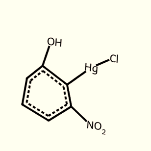 O=[N+]([O-])c1cccc(O)[c]1[Hg][Cl]